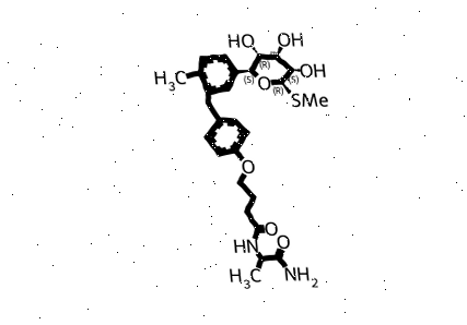 CS[C@H]1O[C@@H](c2ccc(C)c(Cc3ccc(OCCCC(=O)NC(C)C(N)=O)cc3)c2)[C@H](O)[C@@H](O)[C@@H]1O